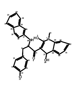 CN1C(O)=C(C(=O)C(Cc2ccc(Cl)cc2)Nc2ccc3ccccc3c2)C(O)c2ccccc21